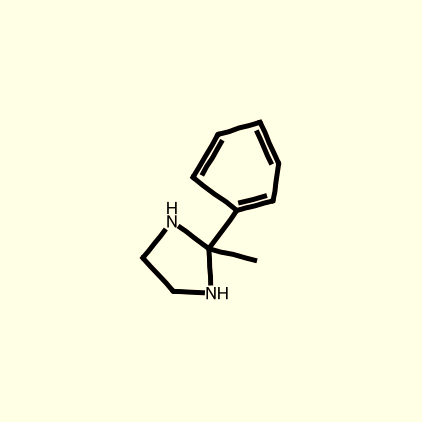 CC1(c2ccccc2)NCCN1